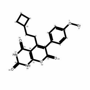 CCOc1ccc(-c2c(CCC3CCC3)c3c(=O)[nH]c(=O)[nH]c3oc2=O)cc1